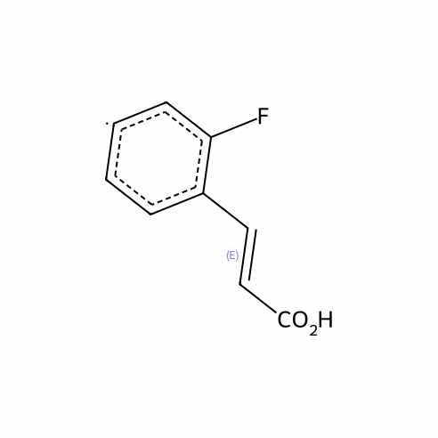 O=C(O)/C=C/c1cc[c]cc1F